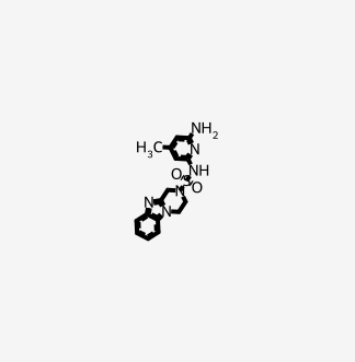 Cc1cc(N)nc(NS(=O)(=O)N2CCn3c(nc4ccccc43)C2)c1